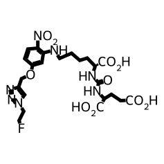 O=C(O)CCC(NC(=O)N[C@@H](CCCCNc1cc(OCc2cn(CCF)nn2)ccc1[N+](=O)[O-])C(=O)O)C(=O)O